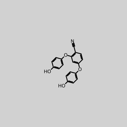 N#Cc1ccc(Oc2ccc(O)cc2)cc1Oc1ccc(O)cc1